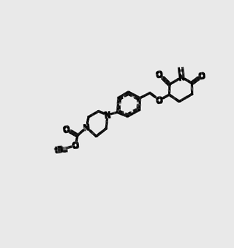 CC(C)(C)OC(=O)N1CCN(c2ccc(COC3CCC(=O)NC3=O)cc2)CC1